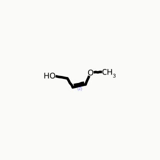 CO/C=C\CO